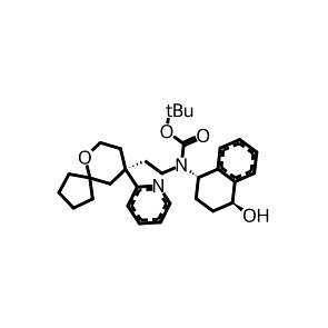 CC(C)(C)OC(=O)N(CC[C@@]1(c2ccccn2)CCOC2(CCCC2)C1)[C@H]1CC[C@H](O)c2ccccc21